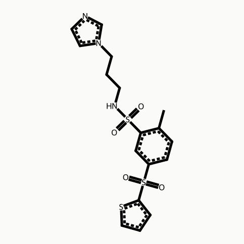 Cc1ccc(S(=O)(=O)c2cccs2)cc1S(=O)(=O)NCCCn1ccnc1